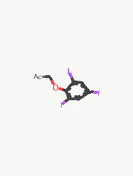 CC(=O)COc1c(I)cc(I)cc1I